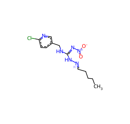 CCCC/C=N/NC(=N[N+](=O)[O-])NCc1ccc(Cl)nc1